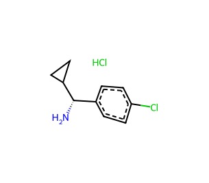 Cl.N[C@@H](c1ccc(Cl)cc1)C1CC1